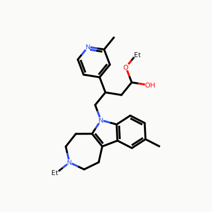 CCOC(O)CC(Cn1c2c(c3cc(C)ccc31)CCN(CC)CC2)c1ccnc(C)c1